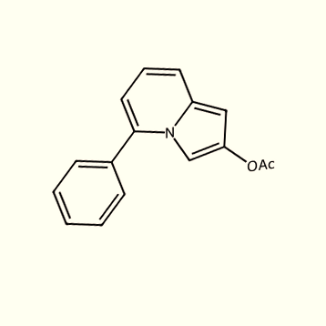 CC(=O)Oc1cc2cccc(-c3ccccc3)n2c1